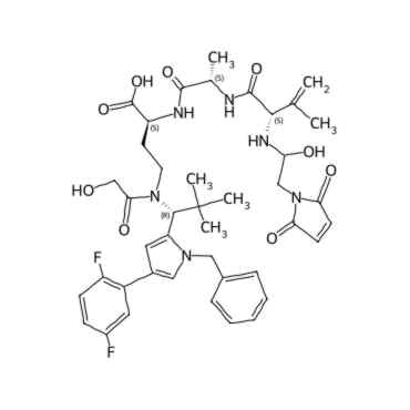 C=C(C)[C@H](NC(O)CN1C(=O)C=CC1=O)C(=O)N[C@@H](C)C(=O)N[C@@H](CCN(C(=O)CO)[C@@H](c1cc(-c2cc(F)ccc2F)cn1Cc1ccccc1)C(C)(C)C)C(=O)O